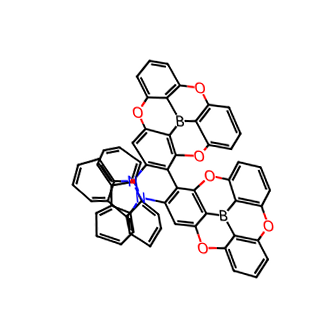 c1cc2c3c(c1)Oc1cc(-n4c5ccccc5c5ccccc54)c(-c4c(-n5c6ccccc6c6ccccc65)cc5c6c4Oc4cccc7c4B6c4c(cccc4O5)O7)c4c1B3c1c(cccc1O4)O2